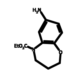 CCOC(=O)N1CCCOc2ccc(N)cc21